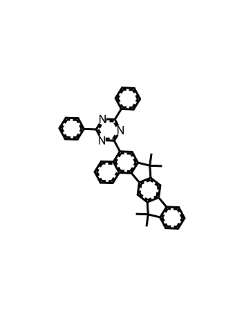 CC1(C)c2ccccc2-c2cc3c(cc21)-c1c(cc(-c2nc(-c4ccccc4)nc(-c4ccccc4)n2)c2ccccc12)C3(C)C